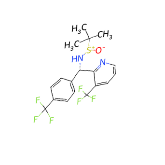 CC(C)(C)[S+]([O-])N[C@@H](c1ccc(C(F)(F)F)cc1)c1ncccc1C(F)(F)F